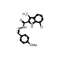 COc1ccc(/C=N\NC(=O)c2[nH]c3c(Cl)cccc3c2C)cc1